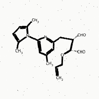 C=CCO[C@@H](C=O)[C@@H](C=O)Cc1cc(C)cc(-n2c(C)ccc2C)n1